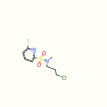 CN(CCCCl)S(=O)(=O)c1cccc(F)n1